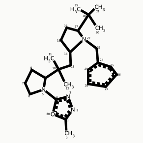 Cc1nnc(N2CCCC2C(C)(C)CC2CCC(C(C)(C)C)N2Cc2ccccc2)o1